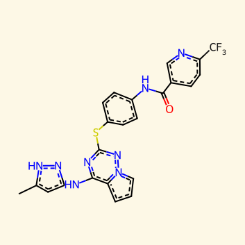 Cc1cc(Nc2nc(Sc3ccc(NC(=O)c4ccc(C(F)(F)F)nc4)cc3)nn3cccc23)n[nH]1